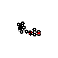 c1ccc(-c2ccc3c4c2N(c2ccccc2)c2ccccc2C4(c2ccccc2)c2cc(-c4ccc(N(c5ccc6c(c5)C(c5ccccc5)(c5ccccc5)c5ccccc5-6)c5cccc6oc7ccccc7c56)cc4)ccc2-3)cc1